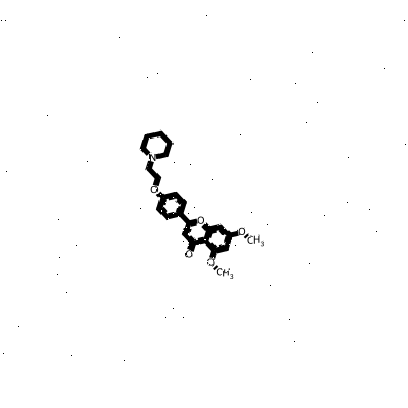 COc1cc(OC)c2c(=O)cc(-c3ccc(OCCN4CCCCC4)cc3)oc2c1